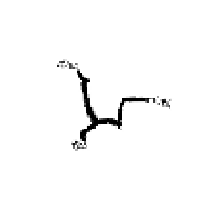 [CH2]C([CH2])([CH2])[C](CCCCCCCCCCCC)CCCCCCCCCCCC